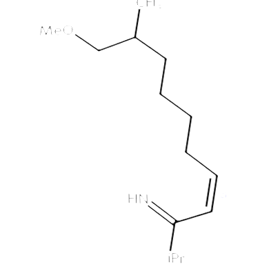 COCC(C)CCCC/C=C\C(=N)C(C)C